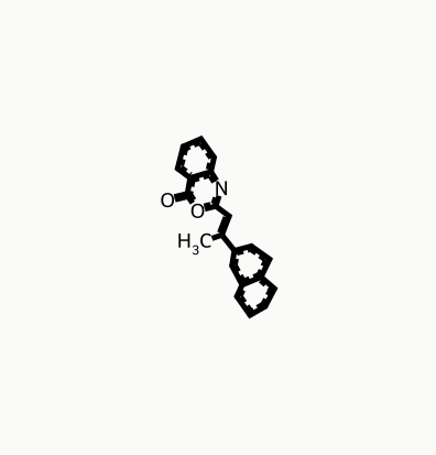 C/C(=C\c1nc2ccccc2c(=O)o1)c1ccc2ccccc2c1